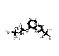 CC(C)(C)NC(=O)Oc1cccn2cc(C(F)(F)F)nc12